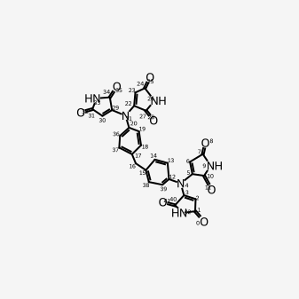 O=C1C=C(N(C2=CC(=O)NC2=O)c2ccc(Cc3ccc(N(C4=CC(=O)NC4=O)C4=CC(=O)NC4=O)cc3)cc2)C(=O)N1